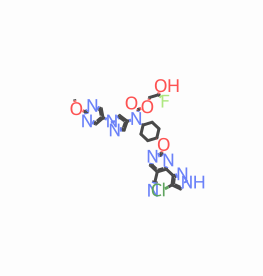 COc1ncc(-n2cc(N(C(=O)OCC(O)F)[C@H]3CC[C@H](Oc4ncc(C#N)c(-c5n[nH]cc5Cl)n4)CC3)cn2)cn1